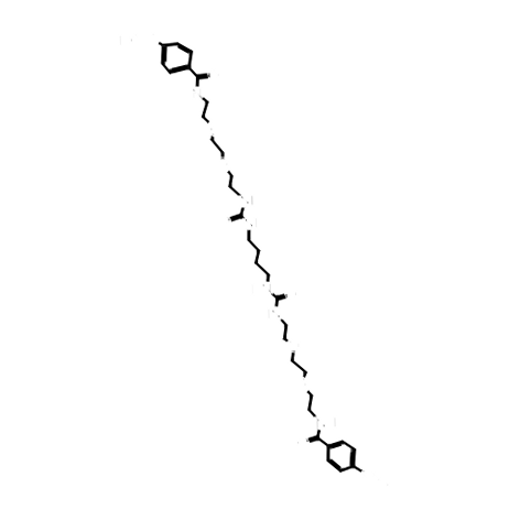 O=C(NCCCCNC(=O)NCCOCCOCCNC(=O)c1ccc(C(=O)O)cc1)NCCOCCOCCNC(=O)c1ccc(C(=O)O)cc1